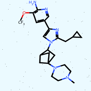 CN1CCN(C23CC(C2)C(n2cc(-c4cnc(N)c(OC(F)(F)F)c4)nc2CC2CC2)C3)CC1